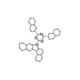 c1ccc2cc(-c3nc(-c4ccc5ccccc5c4)nc(-n4c5cc6ccccc6cc5c5c6ccccc6ccc54)n3)ccc2c1